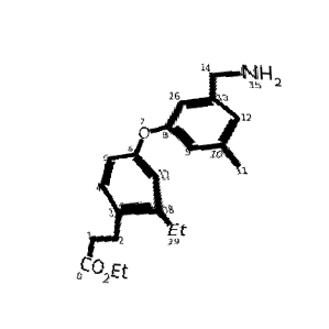 CCOC(=O)CCc1ccc(Oc2cc(C)cc(CN)c2)cc1CC